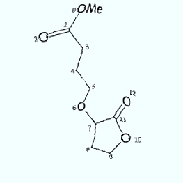 COC(=O)CCCOC1CCOC1=O